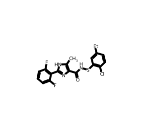 CCc1ccc(Cl)c(SNC(=O)c2nc(-c3c(F)cccc3F)[nH]c2C)c1